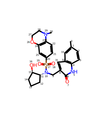 Cc1ccc2[nH]c(=O)c(CN([C@@H]3CCC[C@H]3O)S(=O)(=O)c3ccc4c(c3)OCCN4C)cc2c1